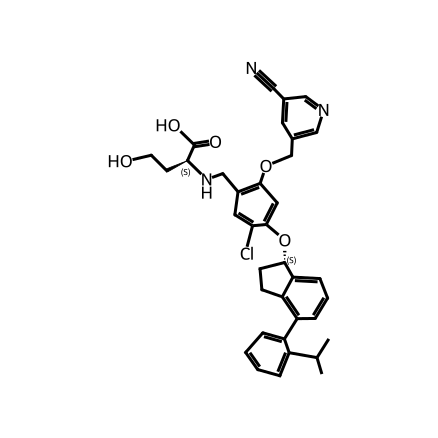 CC(C)c1ccccc1-c1cccc2c1CC[C@@H]2Oc1cc(OCc2cncc(C#N)c2)c(CN[C@@H](CCO)C(=O)O)cc1Cl